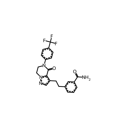 NC(=O)c1cccc(CCc2cnn3c2C(=O)N(c2ccc(C(F)(F)F)cc2)CC3)c1